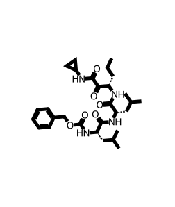 CCC[C@H](NC(=O)[C@H](CC(C)C)NC(=O)[C@H](CC(C)C)NC(=O)OCc1ccccc1)C(=O)C(=O)NC1CC1